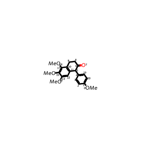 COc1ccc(C2C(=O)CCc3c2cc(OC)c(OC)c3OC)cc1